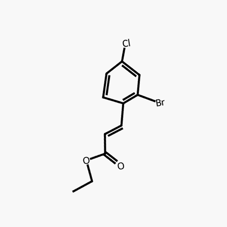 CCOC(=O)C=Cc1ccc(Cl)cc1Br